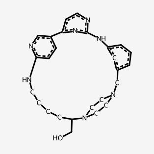 OCC1CCCCNc2ccc(cn2)-c2ccnc(n2)Nc2cccc(c2)CN2CCN1CC2